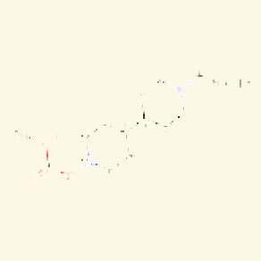 CCOC(=O)CN1CCC(C2CCN(OC(=O)OC(C)(C)C)CC2)CC1